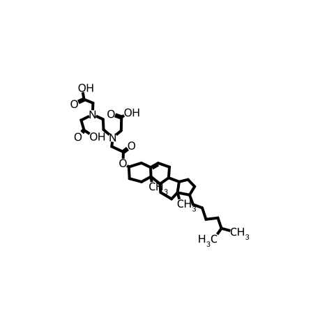 CC(C)CCCCC1CCC2C3CC=C4CC(OC(=O)CN(CCN(CC(=O)O)CC(=O)O)CC(=O)O)CCC4(C)C3CCC12C